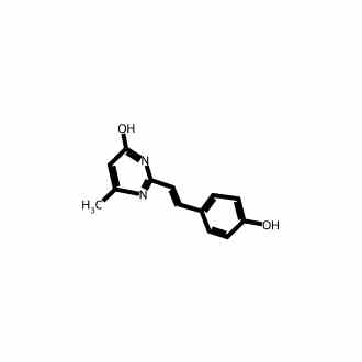 Cc1cc(O)nc(C=Cc2ccc(O)cc2)n1